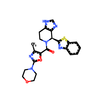 O=C(c1oc(N2CCOCC2)nc1C(F)(F)F)N1CCc2[nH]cnc2[C@H]1c1nc2ccccc2s1